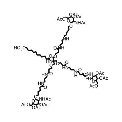 CC(=O)NC1C(OC(C)=O)[C@H](OC(C)=O)C(COC(C)=O)O[C@H]1OCCCCCNCCCNC(=O)CCOCC(COCCC(=O)NCCCNC(=O)CCCCO[C@@H]1OC(COC(C)=O)[C@@H](OC(C)=O)C(OC(C)=O)C1NC(C)=O)(COCCC(=O)NCCCNC(=O)CCCCO[C@@H]1OC(COC(C)=O)[C@@H](OC(C)=O)C(OC(C)=O)C1NC(C)=O)NC(=O)CCCCCCCCCCC(=O)O